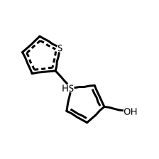 OC1=C[SH](c2cccs2)C=C1